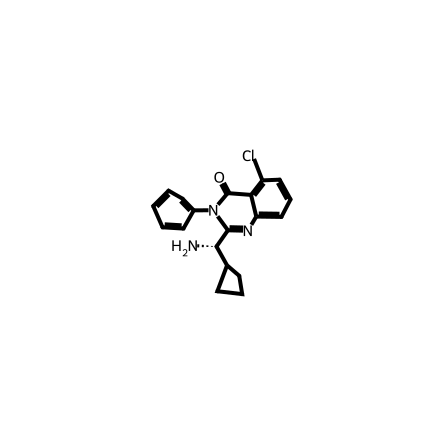 N[C@H](c1nc2cccc(Cl)c2c(=O)n1-c1ccccc1)C1CCC1